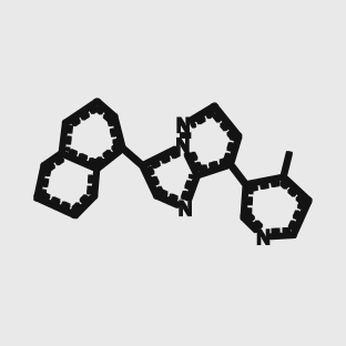 Cc1ccncc1-c1ccnn2c(-c3cccc4ccccc34)cnc12